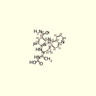 C[C@H](NC(=O)O)[C@@H](Nc1nc(Nc2cccc3ncccc23)c(C(N)=O)cc1F)C1CC1